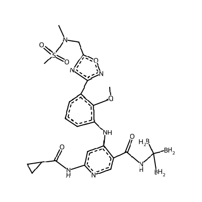 BC(B)(B)NC(=O)c1cnc(NC(=O)C2CC2)cc1Nc1cccc(-c2noc(CN(C)S(C)(=O)=O)n2)c1OC